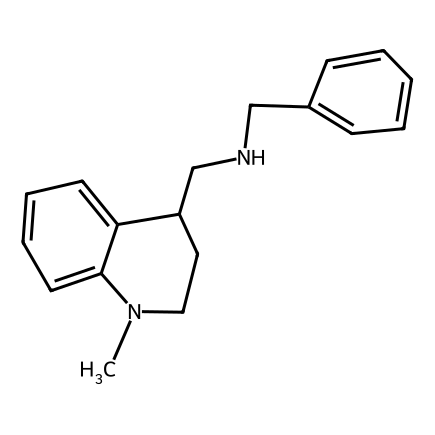 CN1CCC(CNCc2ccccc2)c2ccccc21